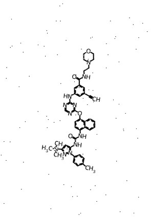 C#Cc1cc(Nc2ncnc(Oc3ccc(NC(=O)Nc4cc([Si](C)(C)C)nn4-c4ccc(C)cc4)c4ccccc34)n2)cc(C(=O)NCCN2CCOCC2)c1